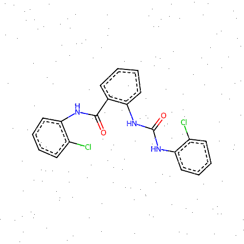 O=C(Nc1ccccc1Cl)Nc1ccccc1C(=O)Nc1ccccc1Cl